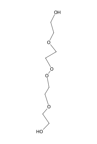 OCCOCCOOCCOCCO